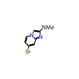 CNc1cn2ccc(Br)cc2n1